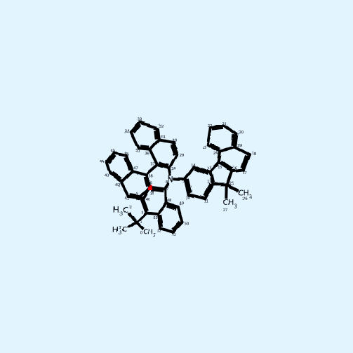 CC(C)(C)c1ccc(N(c2ccc3c(c2)-c2c(ccc4ccccc24)C3(C)C)c2ccc3ccccc3c2-c2cccc3ccccc23)c2ccccc12